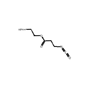 CCCCCCCCOC(=O)CCN=C=O